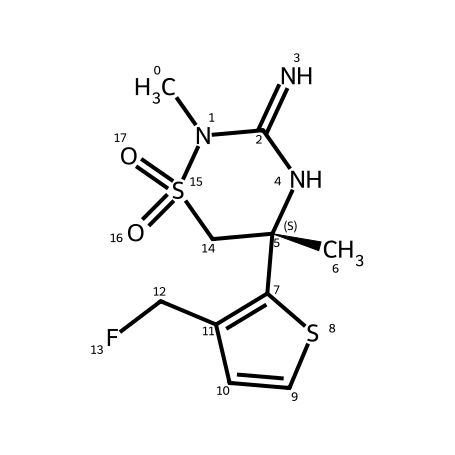 CN1C(=N)N[C@](C)(c2sccc2CF)CS1(=O)=O